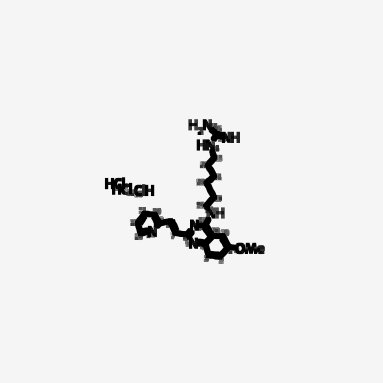 COc1ccc2nc(/C=C/c3ccccn3)nc(NCCCCCCNC(=N)N)c2c1.Cl.Cl.Cl